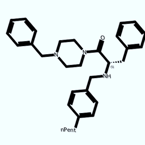 CCCCCc1ccc(CN[C@@H](Cc2ccccc2)C(=O)N2CCN(Cc3ccccc3)CC2)cc1